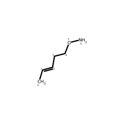 CC=CCCON